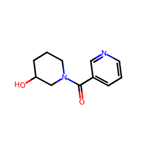 O=C(c1cccnc1)N1CCCC(O)C1